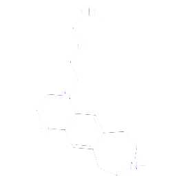 CCOCCN1CCOc2cc3c(cc21)CCNCC3